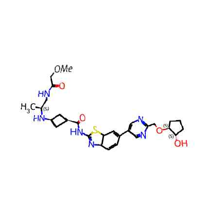 COCC(=O)NC[C@H](C)N[C@H]1C[C@@H](C(=O)NC2=NC3C=CC(c4cnc(CO[C@H]5CCC[C@@H]5O)nc4)=CC3S2)C1